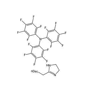 CCCCCCCCCCCC1=NCCN1.Fc1c(F)c(F)c(N(c2c(F)c(F)c(F)c(F)c2F)c2c(F)c(F)c(F)c(F)c2F)c(F)c1F